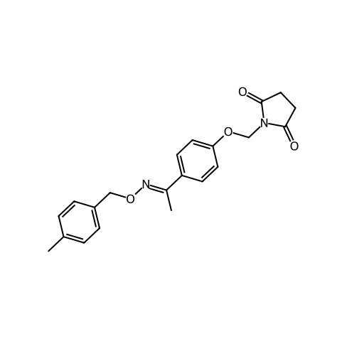 C/C(=N\OCc1ccc(C)cc1)c1ccc(OCN2C(=O)CCC2=O)cc1